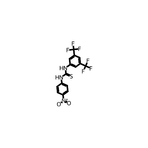 O=[N+]([O-])c1ccc(NC(=S)Nc2cc(C(F)(F)F)cc(C(F)(F)F)c2)cc1